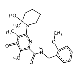 COc1ccccc1CNC(=O)c1nc(N2CCCCS2(O)O)n(C)c(=O)c1O